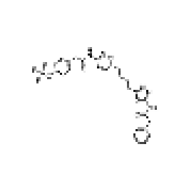 O=C(Cc1ccc(OC(F)(F)F)cc1)Nc1ccc(CCCCc2nnc(NC(=O)Cc3ccccc3)s2)nn1